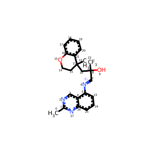 Cc1ncc2c(/N=C/C(O)(CC3(C)CCOc4ccccc43)C(F)(F)F)cccc2n1